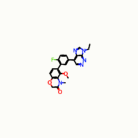 CCn1cnc2c(-c3ccc(F)c(-c4ccc5c(c4OC)N(C)C(=O)CO5)c3)cnnc21